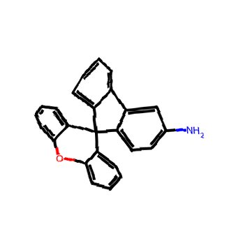 Nc1ccc2c(c1)-c1ccccc1C21c2ccccc2Oc2ccccc21